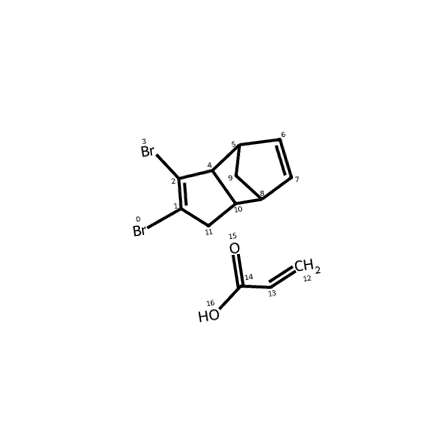 BrC1=C(Br)C2C3C=CC(C3)C2C1.C=CC(=O)O